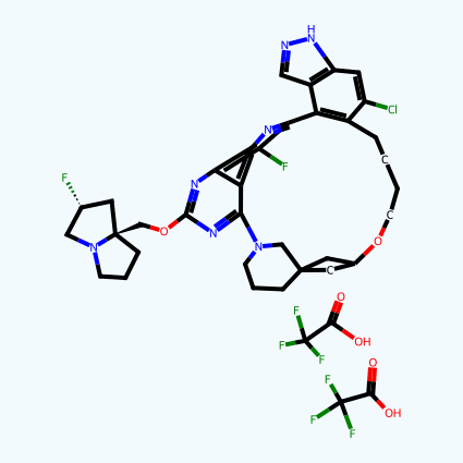 Fc1c2ncc3c(nc(OC[C@@]45CCCN4C[C@H](F)C5)nc13)N1CCCC3(CC(C3)OCCCCc3c(Cl)cc4[nH]ncc4c3-2)C1.O=C(O)C(F)(F)F.O=C(O)C(F)(F)F